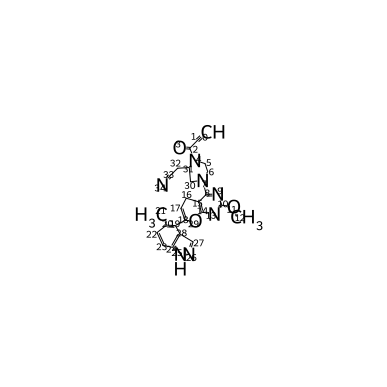 C#CC(=O)N1CCN(c2nc(OC)nc3c2CC=C(c2c(C)ccc4[nH]ncc24)O3)CC1CC#N